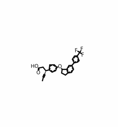 CC#C[C@@H](CC(=O)O)c1ccc(OC2CCc3ccc(-c4ccc(C(F)(F)F)cc4)cc32)cc1